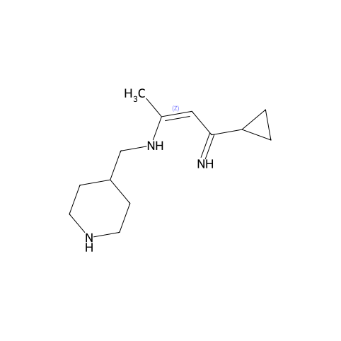 C/C(=C/C(=N)C1CC1)NCC1CCNCC1